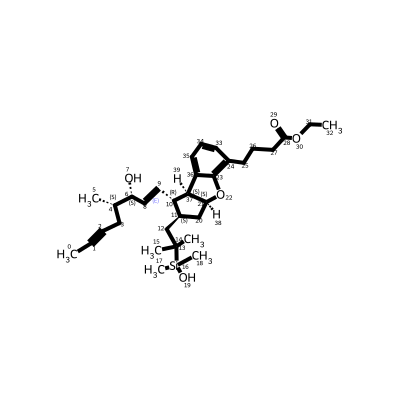 CC#CC[C@H](C)[C@H](O)/C=C/[C@H]1[C@H](CC(C)(C)[Si](C)(C)O)C[C@@H]2Oc3c(CCCC(=O)OCC)cccc3[C@H]12